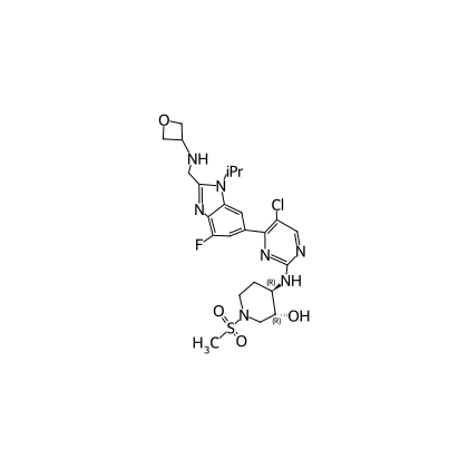 CC(C)n1c(CNC2COC2)nc2c(F)cc(-c3nc(N[C@@H]4CCN(S(C)(=O)=O)C[C@H]4O)ncc3Cl)cc21